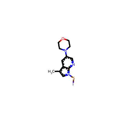 Cc1cn(SI)c2ncc(N3CCOCC3)cc12